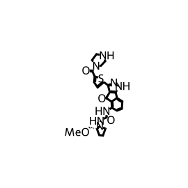 COC[C@H]1CCCN1NC(=O)Nc1cccc2c1C(=O)c1c(-c3ccc(C(=O)N4CCNCC4)s3)n[nH]c1-2